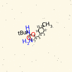 Cc1ccc(C[C@@H](CN)OC(=O)NC(C)(C)C)cc1